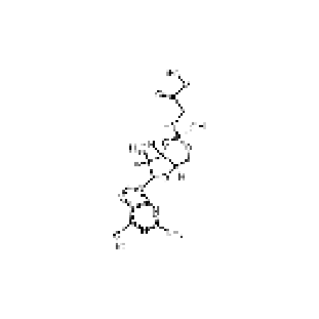 CCOc1nc(N)nc2c1ncn2[C@@H]1O[C@@H]2CO[P@](O)(NCC(=O)OC(C)C)O[C@H]2[C@@]1(C)F